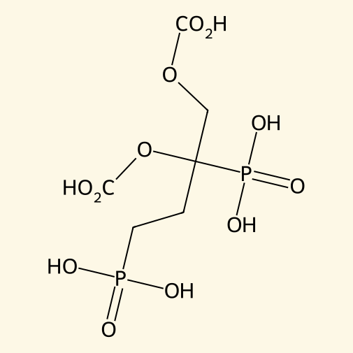 O=C(O)OCC(CCP(=O)(O)O)(OC(=O)O)P(=O)(O)O